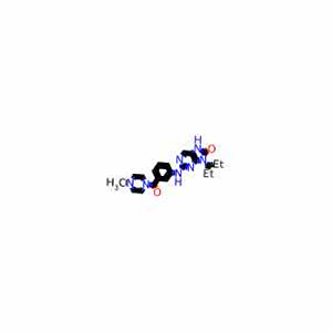 CCC(CC)n1c(=O)[nH]c2cnc(Nc3cccc(C(=O)N4CCN(C)CC4)c3)nc21